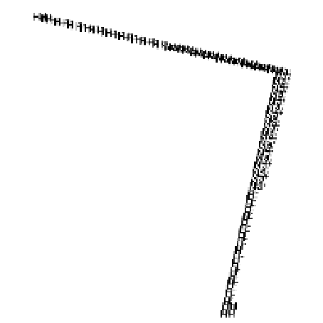 [H-].[H-].[H-].[H-].[H-].[H-].[H-].[H-].[H-].[H-].[H-].[H-].[H-].[H-].[H-].[H-].[H-].[H-].[H-].[H-].[H-].[H-].[H-].[H-].[H-].[H-].[H-].[H-].[H-].[H-].[H-].[H-].[H-].[H-].[H-].[H-].[H-].[H-].[H-].[H-].[H-].[H-].[H-].[H-].[H-].[H-].[H-].[H-].[H-].[H-].[H-].[H-].[H-].[H-].[H-].[HH].[HH].[HH].[HH].[HH].[Na+].[Na+].[Na+].[Na+].[Na+].[Na+].[Na+].[Na+].[Na+].[Na+].[Na+].[Na+].[Na+].[Na+].[Na+].[Na+].[Na+].[Na+].[Na+].[Na+].[Na+].[Na+].[Na+].[Na+].[Na+].[Na+].[Na+].[Na+].[Na+].[Na+].[Na+].[Na+].[Na+].[Na+].[Na+].[Na+].[Na+].[Na+].[Na+].[Na+].[Na+].[Na+].[Na+].[Na+].[Na+].[Na+].[Na+].[Na+].[Na+].[Na+].[Na+].[Na+].[Na+].[Na+].[Na+]